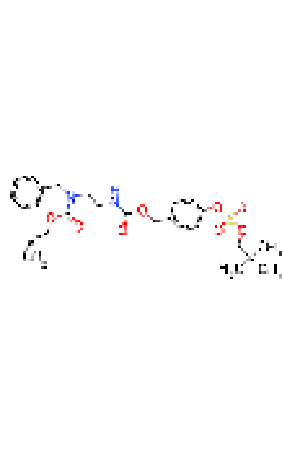 C=CCOC(=O)N(CCNC(=O)OCc1ccc(OS(=O)(=O)OCC(C)(C)C)cc1)Cc1ccccc1